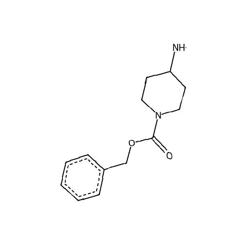 [NH]C1CCN(C(=O)OCc2ccccc2)CC1